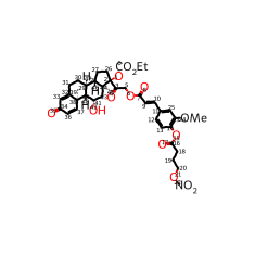 CCOC(=O)O[C@]1(C(=O)COC(=O)/C=C/c2ccc(OC(=O)CCCO[N+](=O)[O-])c(OC)c2)CC[C@H]2[C@@H]3CCC4=CC(=O)C=C[C@]4(C)[C@H]3[C@@H](O)C[C@@]21C